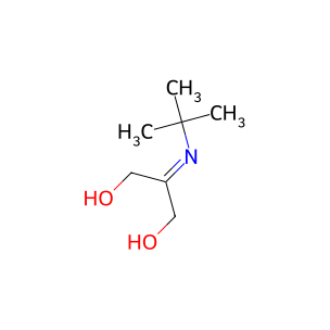 CC(C)(C)N=C(CO)CO